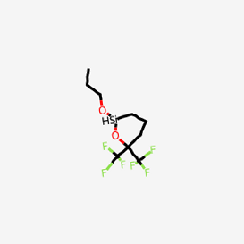 CCCO[SiH]1CCCC(C(F)(F)F)(C(F)(F)F)O1